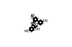 N#Cc1ccc(C(O)(COc2ccc(C#N)cc2-c2ccc(OC(F)(F)F)cc2)c2cncs2)cc1